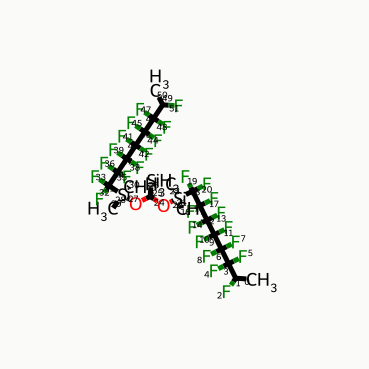 CC(F)C(F)(F)C(F)(F)C(F)(F)C(F)(F)C(F)(F)C(F)(F)[Si](C)(C)OC([SiH3])O[Si](C)(C)C(F)(F)C(F)(F)C(F)(F)C(F)(F)C(F)(F)C(F)(F)C(C)F